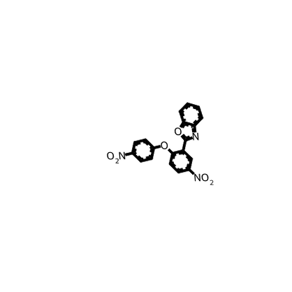 O=[N+]([O-])c1ccc(Oc2ccc([N+](=O)[O-])cc2-c2nc3ccccc3o2)cc1